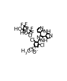 CC[S+]([O-])c1cc(Cl)c(-c2nc3c([nH]2)-c2ccncc2Nc2ncccc2-3)c(Cl)c1.O=C(O)C(F)(F)F.O=C(O)C(F)(F)F